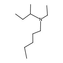 CCCCCN(CC)C(C)CC